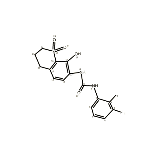 Cc1c(F)cccc1NC(=O)Nc1ccc2c(c1O)S(=O)(=O)CCC2